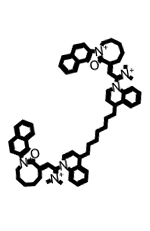 C[N+](C)=C(C=C1CCCCC[n+]2c1oc1c3ccccc3ccc12)N1C=CC(CCCCCCCC2C=CN(C(C=C3CCCCC[n+]4c3oc3c5ccccc5ccc34)=[N+](C)C)c3ccccc32)c2ccccc21